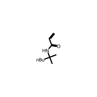 C=CC(=O)NC(C)(C)CCCC